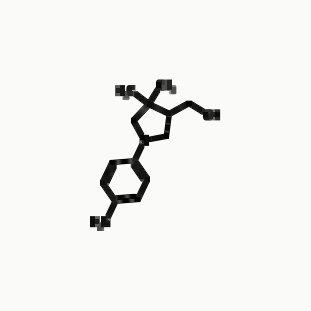 CC1(C)CN(c2ccc(N)cc2)CC1CO